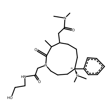 CC1C(=O)N(CC(=O)NCCO)CCC[C@](c2ccccc2)(N(C)C)CCCC1CC(=O)N(C)C